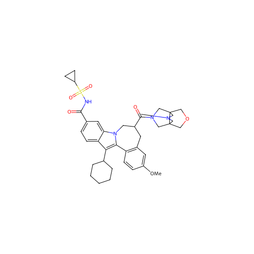 COc1ccc2c(c1)CC(C(=O)N1CC34COCC3(CN(C)C4)C1)Cn1c-2c(C2CCCCC2)c2ccc(C(=O)NS(=O)(=O)C3CC3)cc21